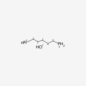 CCCCCCCCP.Cl